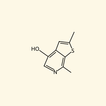 Cc1cc2c(O)cnc(C)c2s1